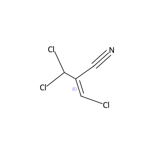 N#C/C(=C\Cl)C(Cl)Cl